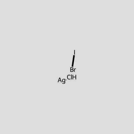 BrI.Cl.[Ag]